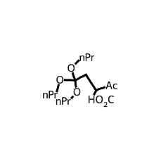 CCCOC(CC(C(C)=O)C(=O)O)(OCCC)OCCC